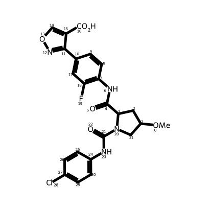 COC1CC(C(=O)Nc2ccc(-c3nocc3C(=O)O)cc2F)N(C(=O)Nc2ccc(Cl)cc2)C1